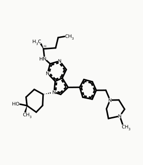 CCC[C@H](C)Nc1ncc2c(-c3ccc(CN4CCN(C)CC4)cc3)cn([C@H]3CC[C@@](C)(O)CC3)c2n1